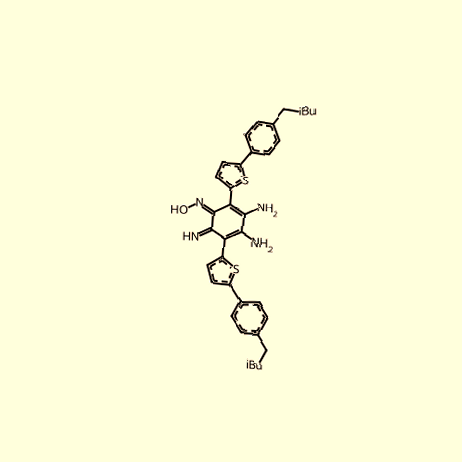 CCC(C)Cc1ccc(-c2ccc(C3=C(N)C(N)=C(c4ccc(-c5ccc(CC(C)CC)cc5)s4)/C(=N/O)C3=N)s2)cc1